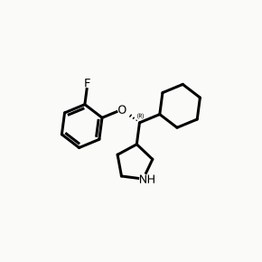 Fc1ccccc1O[C@H](C1CCCCC1)C1CCNC1